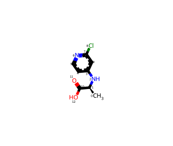 C[C@H](Nc1ccnc(Cl)c1)C(=O)O